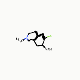 CNC1CC2=C(C=C1F)CCN(C)C2